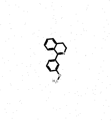 COc1cccc(C2=NCCc3ccccc32)c1